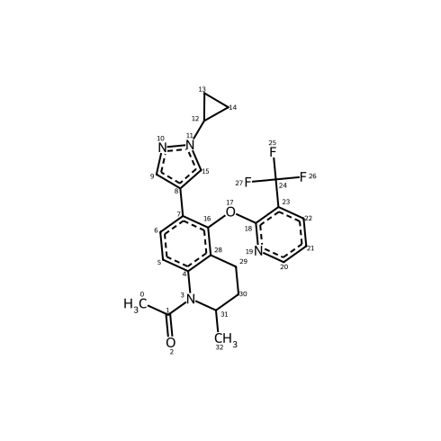 CC(=O)N1c2ccc(-c3cnn(C4CC4)c3)c(Oc3ncccc3C(F)(F)F)c2CCC1C